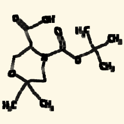 CC(C)(C)OC(=O)N1CC(C)(C)OCC1C(=O)O